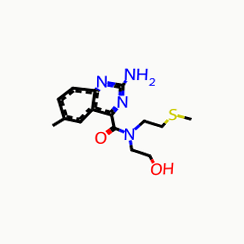 CSCCN(CCO)C(=O)c1nc(N)nc2ccc(C)cc12